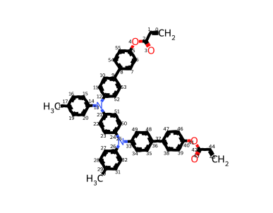 C=CC(=O)Oc1ccc(-c2ccc(N(c3ccc(C)cc3)c3ccc(N(c4ccc(C)cc4)c4ccc(-c5ccc(OC(=O)C=C)cc5)cc4)cc3)cc2)cc1